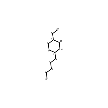 CCCCCC1CCC(CC)CC1